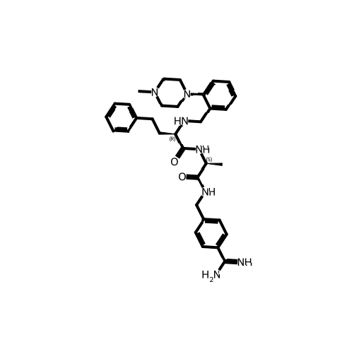 C[C@H](NC(=O)[C@@H](CCc1ccccc1)NCc1ccccc1N1CCN(C)CC1)C(=O)NCc1ccc(C(=N)N)cc1